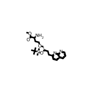 COC(=O)C(N)CCOC[C@H](CCc1ccc2cccnc2n1)O[Si](C)(C)C(C)(C)C